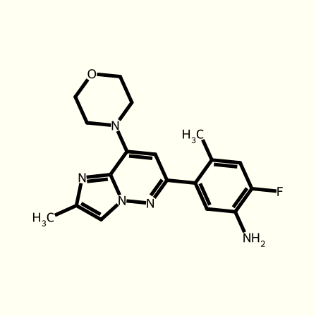 Cc1cn2nc(-c3cc(N)c(F)cc3C)cc(N3CCOCC3)c2n1